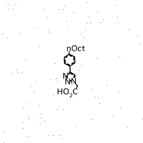 CCCCCCCCc1ccc(-c2cn(CC(=O)O)nn2)cc1